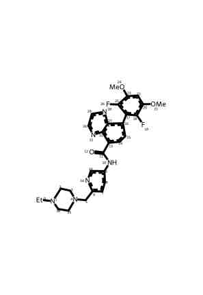 CCN1CCN(Cc2ccc(NC(=O)c3ccc(-c4c(F)c(OC)cc(OC)c4F)c4nccnc34)cn2)CC1